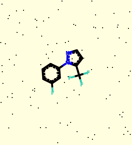 Fc1cccc(-n2nc[c]c2C(F)(F)F)c1